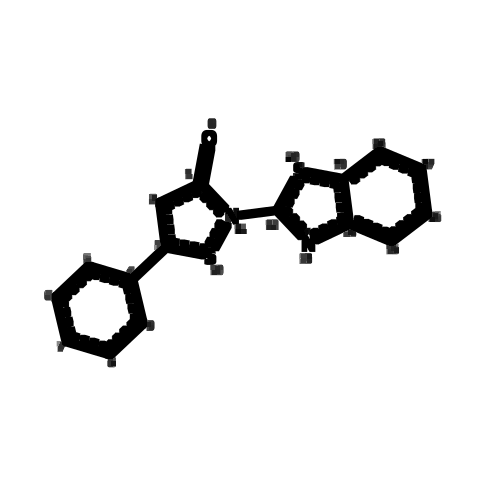 O=c1cc(-c2ccccc2)sn1-c1nc2ccccc2s1